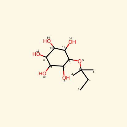 CCC(C)(C)OC1C(O)C(O)C(O)C(O)C1O